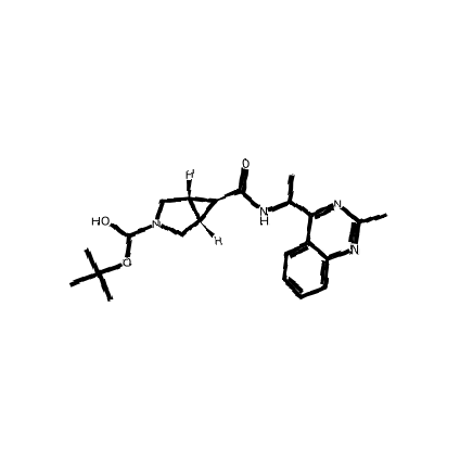 Cc1nc(C(C)NC(=O)[C@H]2[C@@H]3CN(C(O)OC(C)(C)C)C[C@@H]32)c2ccccc2n1